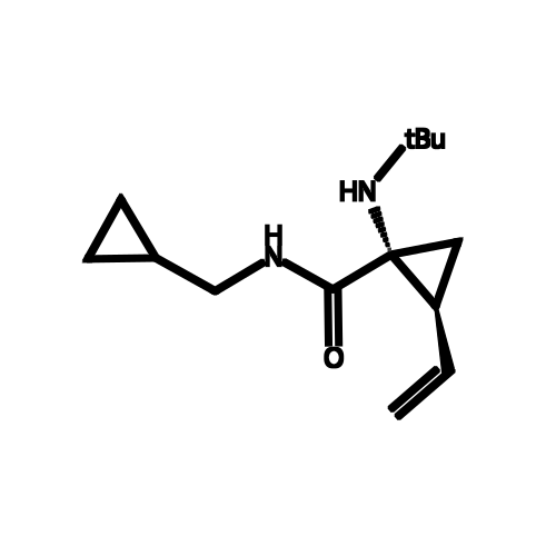 C=C[C@@H]1C[C@]1(NC(C)(C)C)C(=O)NCC1CC1